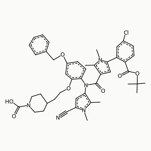 Cc1c(N(C(=O)c2cc(-c3cc(Cl)ccc3C(=O)OC(C)(C)C)n(C)c2C)c2ccc(OCc3ccccc3)cc2OCCC2CCN(C(=O)O)CC2)cc(C#N)n1C